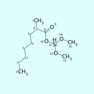 CCCCCCC(C)C(=O)O[SiH](OC)OC